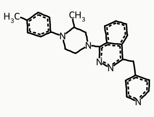 Cc1ccc(N2CCN(c3nnc(Cc4ccncc4)c4ccccc34)CC2C)cc1